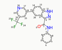 O=C(Nc1ccccc1)c1n[nH]c2ccc(-c3cncc(C(F)(F)F)c3)cc12